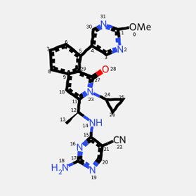 COc1ncc(-c2cccc3cc([C@H](C)Nc4nc(N)ncc4C#N)n(C4CC4)c(=O)c23)cn1